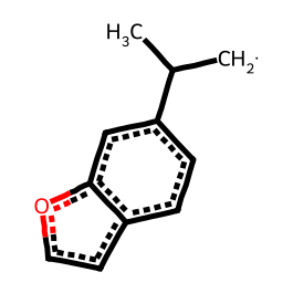 [CH2]C(C)c1ccc2ccoc2c1